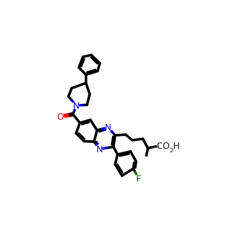 CC(CCCc1nc2cc(C(=O)N3CCC(c4ccccc4)CC3)ccc2nc1-c1ccc(F)cc1)C(=O)O